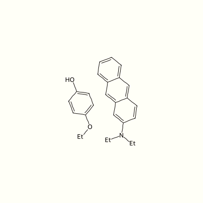 CCN(CC)c1ccc2cc3ccccc3cc2c1.CCOc1ccc(O)cc1